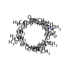 C/C=C/C[C@@H](C)[C@@H](O)C1C(=O)N[C@@H](CC)C(=O)N(C)C(CC(=O)P)C(=O)N(C)[C@@H](CC(C)C)C(=O)N[C@@H](C(C)C)C(=O)N(C)[C@@H](CC(C)C)C(=O)N[C@@H](C)C(=O)N[C@@H](C)C(=O)N(C)[C@@H](CC(C)C)C(=O)N(C)[C@@H](CC(C)C)C(=O)N(C)[C@@H](C(C)C)C(=O)N1C